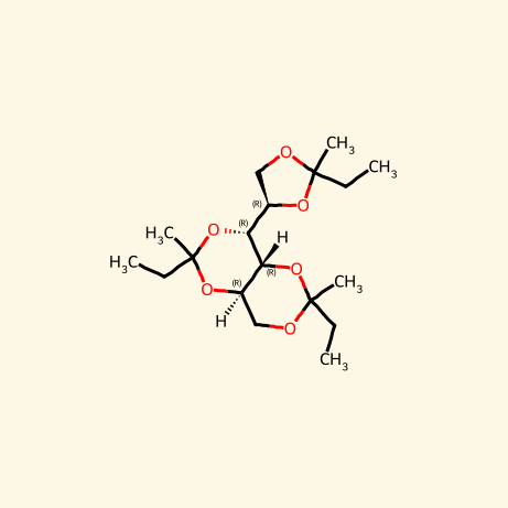 CCC1(C)OC[C@H]2OC(C)(CC)O[C@H]([C@H]3COC(C)(CC)O3)[C@@H]2O1